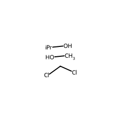 CC(C)O.CO.ClCCl